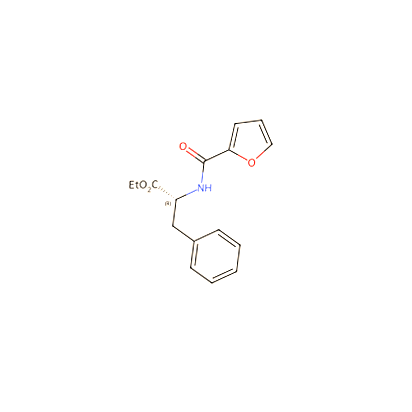 CCOC(=O)[C@@H](Cc1ccccc1)NC(=O)c1ccco1